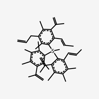 C=CCc1c(C)c(C(=C)C)c(/C=C/C)c(S(C)(c2c(C)c(C)c(C)c(C(=C)C)c2C)c2c(/C=C/C)c(C)c(C)c(C)c2C(=C)C)c1C